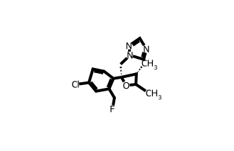 CC1O[C@@](Cn2cncn2)(c2ccc(Cl)cc2CF)[C@@H]1C